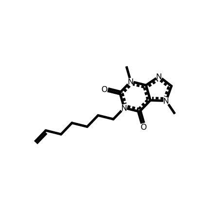 C=CCCCCCn1c(=O)c2c(ncn2C)n(C)c1=O